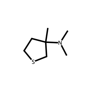 CN(C)C1(C)CCSC1